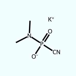 CN(C)P(=O)([O-])C#N.[K+]